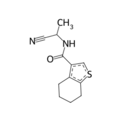 CC(C#N)NC(=O)c1csc2c1CCCC2